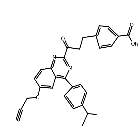 C#CCOc1ccc2nc(C(=O)CCc3ccc(C(=O)O)cc3)nc(-c3ccc(C(C)C)cc3)c2c1